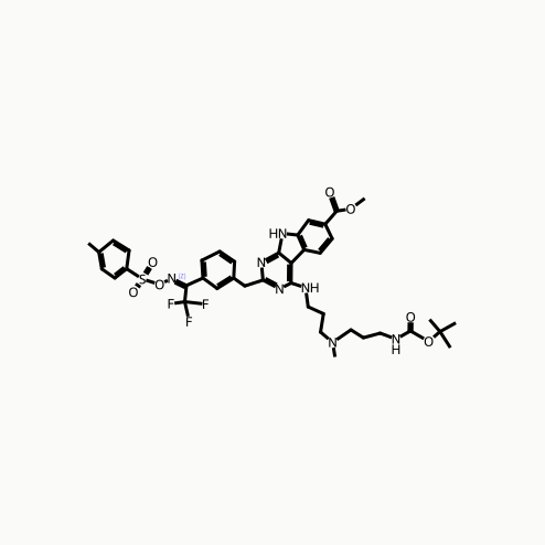 COC(=O)c1ccc2c(c1)[nH]c1nc(Cc3cccc(/C(=N/OS(=O)(=O)c4ccc(C)cc4)C(F)(F)F)c3)nc(NCCCN(C)CCCNC(=O)OC(C)(C)C)c12